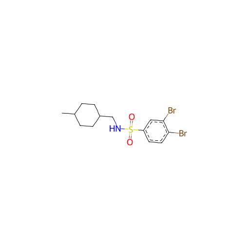 CC1CCC(CNS(=O)(=O)c2ccc(Br)c(Br)c2)CC1